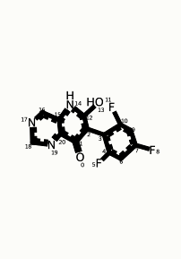 O=c1c(-c2c(F)cc(F)cc2F)c(O)[nH]c2cncnc12